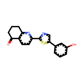 O=C1CCCc2nc(-c3ncc(-c4cccc(O)c4)s3)ccc21